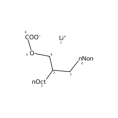 CCCCCCCCCCC(CCCCCCCC)COC(=O)[O-].[Li+]